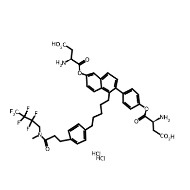 CN(CC(F)(F)C(F)(F)C(F)(F)F)C(=O)CCc1ccc(CCCCCc2c(-c3ccc(OC(=O)[C@@H](N)CC(=O)O)cc3)ccc3cc(OC(=O)[C@@H](N)CC(=O)O)ccc23)cc1.Cl.Cl